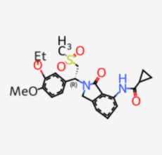 CCOc1cc([C@H](CS(C)(=O)=O)N2Cc3cccc(NC(=O)C4CC4)c3C2=O)ccc1OC